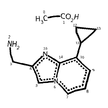 CC(=O)O.NCc1cn2cccc(C3CC3)c2n1